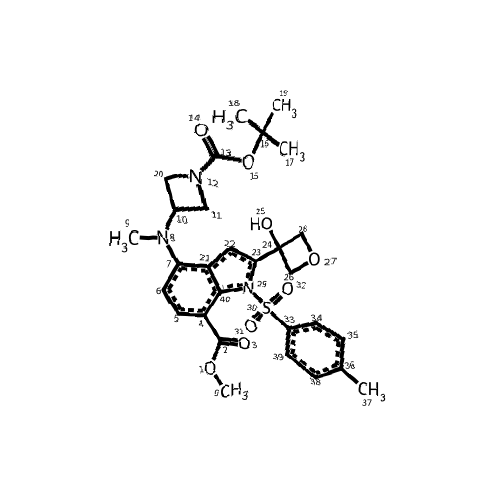 COC(=O)c1ccc(N(C)C2CN(C(=O)OC(C)(C)C)C2)c2cc(C3(O)COC3)n(S(=O)(=O)c3ccc(C)cc3)c12